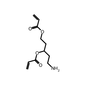 C=CC(=O)OCCC(CCN)OC(=O)C=C